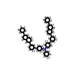 c1ccc(-c2ccc3cc(-c4cccc(-c5ccc(N(c6ccccc6)c6ccc(-c7cccc(-c8ccc9cc(-c%10ccccc%10)ccc9c8)c7)cc6)cc5)c4)ccc3c2)cc1